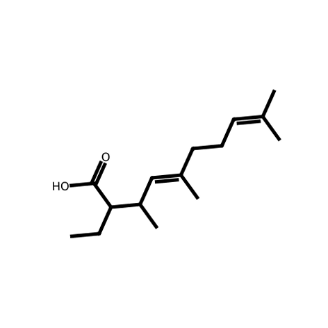 CCC(C(=O)O)C(C)/C=C(\C)CCC=C(C)C